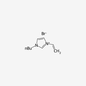 C=C[n+]1ccn(CCCC)c1.[Br-]